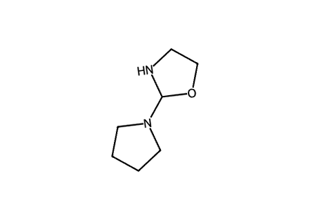 C1CCN(C2NCCO2)C1